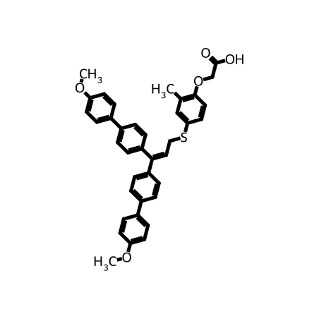 COc1ccc(-c2ccc(C(=CCSc3ccc(OCC(=O)O)c(C)c3)c3ccc(-c4ccc(OC)cc4)cc3)cc2)cc1